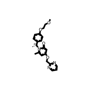 COCCOc1ccc([C@@H](C)n2c(C)cc(OCc3ncccn3)cc2=O)cc1